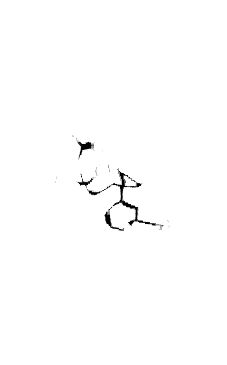 CC(C)(CC1(c2ccnc(Br)c2)CC1)OC(N)=O